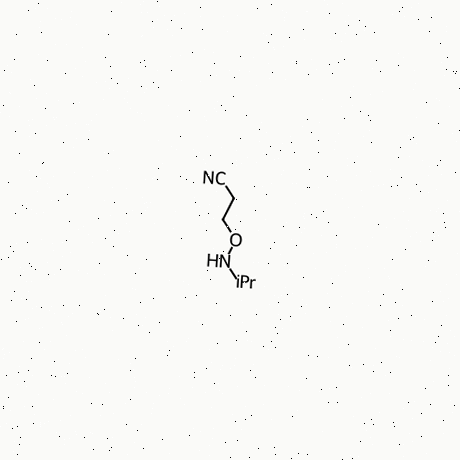 CC(C)NOCCC#N